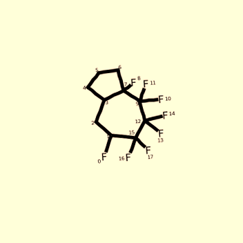 FC1CC2CCCC2(F)C(F)(F)C(F)(F)C1(F)F